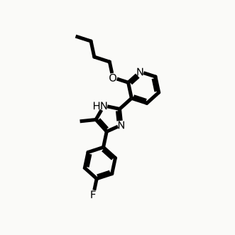 CCCCOc1ncccc1-c1nc(-c2ccc(F)cc2)c(C)[nH]1